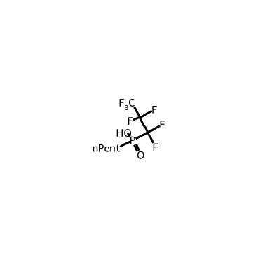 CCCCCP(=O)(O)C(F)(F)C(F)(F)C(F)(F)F